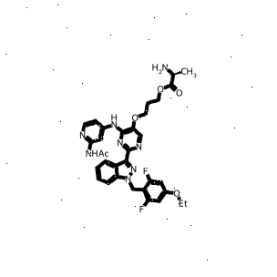 CCOc1cc(F)c(Cn2nc(-c3ncc(OCCCOC(=O)[C@H](C)N)c(Nc4ccnc(NC(C)=O)c4)n3)c3ccccc32)c(F)c1